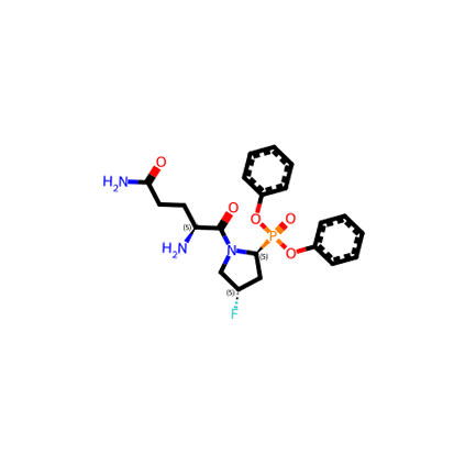 NC(=O)CC[C@H](N)C(=O)N1C[C@@H](F)C[C@@H]1P(=O)(Oc1ccccc1)Oc1ccccc1